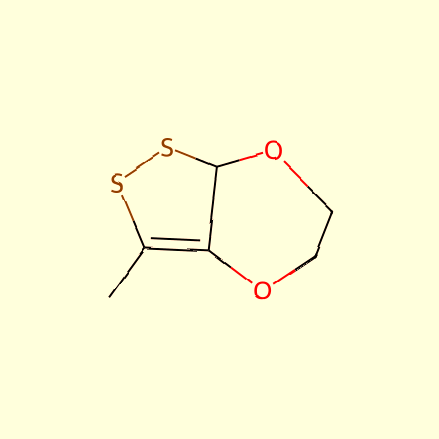 CC1=C2OCCOC2SS1